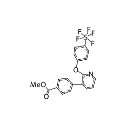 COC(=O)c1ccc(-c2cccnc2Oc2ccc(S(F)(F)(F)(F)F)cc2)cc1